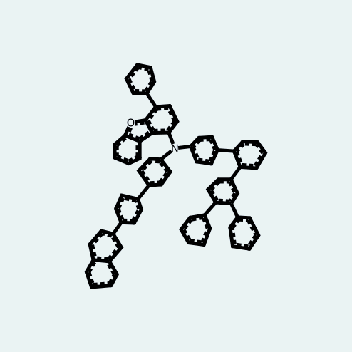 c1ccc(-c2ccc(-c3ccccc3-c3ccc(N(c4ccc(-c5ccc(-c6ccc7ccccc7c6)cc5)cc4)c4ccc(-c5ccccc5)c5oc6ccccc6c45)cc3)cc2-c2ccccc2)cc1